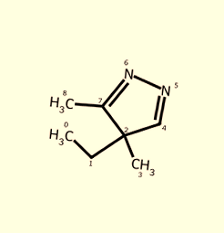 CCC1(C)C=NN=C1C